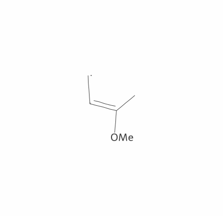 [CH2]C=C(C)OC